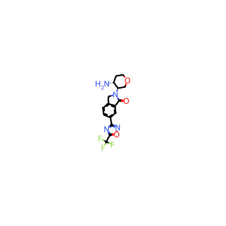 N[C@@H]1CCOC[C@H]1N1Cc2ccc(-c3noc(C(F)(F)F)n3)cc2C1=O